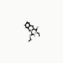 CCOC(=O)C1Cc2ccccc2CN1C(=O)OCC